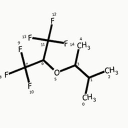 CC(C)C(C)OC(C(F)(F)F)C(F)(F)F